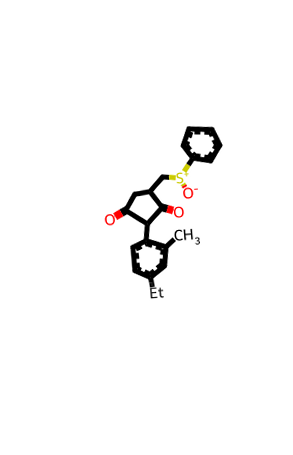 CCc1ccc(C2C(=O)CC(C[S+]([O-])c3ccccc3)C2=O)c(C)c1